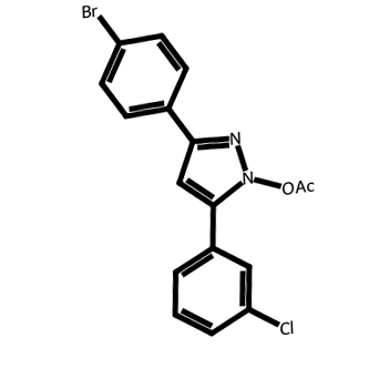 CC(=O)On1nc(-c2ccc(Br)cc2)cc1-c1cccc(Cl)c1